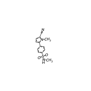 CNS(=O)(=O)c1ccc(-c2ccc(C#N)n2C)cc1